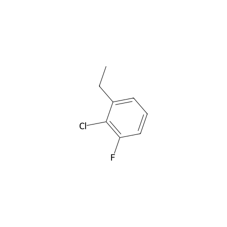 CCc1cccc(F)c1Cl